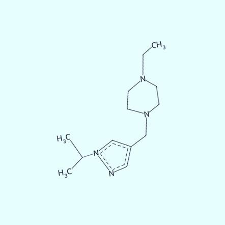 CCN1CCN(Cc2cnn(C(C)C)c2)CC1